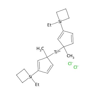 CC[Si]1(C2=C[C](C)([Ti+2][C]3(C)C=CC([Si]4(CC)CCC4)=C3)C=C2)CCC1.[Cl-].[Cl-]